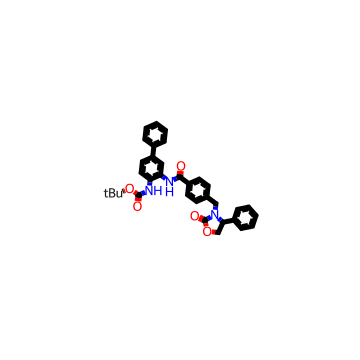 CC(C)(C)OC(=O)Nc1ccc(-c2ccccc2)cc1NC(=O)c1ccc(CN2C(=O)OCC2c2ccccc2)cc1